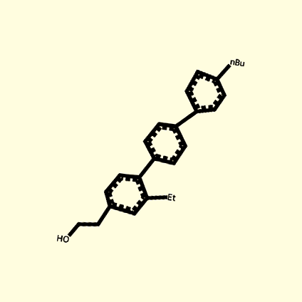 CCCCc1ccc(-c2ccc(-c3ccc(CCO)cc3CC)cc2)cc1